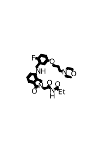 CCC(=O)NC(=O)CN1Cc2c(NCc3cc(OCCCN4CCOCC4)ccc3F)cccc2C1=O